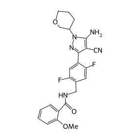 COc1ccccc1C(=O)NCc1cc(F)c(-c2nn(C3CCCOC3)c(N)c2C#N)cc1F